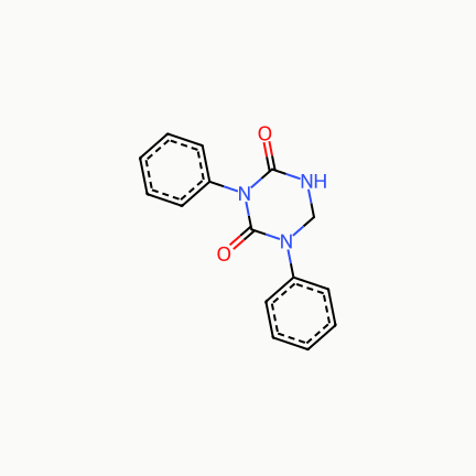 O=C1NCN(c2ccccc2)C(=O)N1c1ccccc1